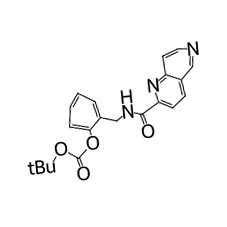 CC(C)(C)OC(=O)Oc1ccccc1CNC(=O)c1ccc2cnccc2n1